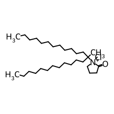 CCCCCCCCCCCCC(C)(CCCCCCCCCCCC)[N+]1(Cl)CCCC1=O